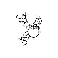 COc1ccc2c(O[C@@H]3C[C@H]4C(=O)N[C@]5(C(=O)NS(=O)(=O)C6(CF)CC6)C[C@H]5/C=C\CC[C@H](C)C[C@@H](C)[C@H](NC(=O)OC5(C(F)(F)F)CCCOC5)C(=O)N4C3)ncc(C(F)(F)F)c2c1